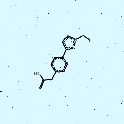 C=C(O)Cc1ccc(-c2ccn(CF)n2)cc1